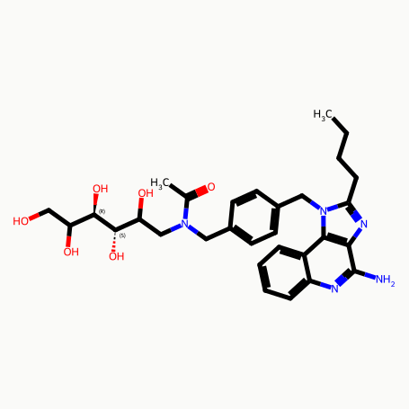 CCCCc1nc2c(N)nc3ccccc3c2n1Cc1ccc(CN(CC(O)[C@H](O)[C@H](O)C(O)CO)C(C)=O)cc1